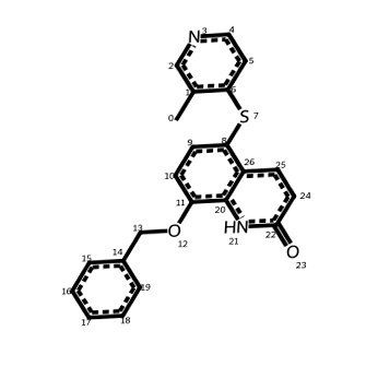 Cc1cnccc1Sc1ccc(OCc2ccccc2)c2[nH]c(=O)ccc12